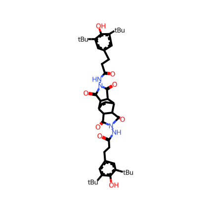 CC(C)(C)c1cc(CCC(=O)NN2C(=O)C3C4C=CC(C3C2=O)C2C(=O)N(NC(=O)CCc3cc(C(C)(C)C)c(O)c(C(C)(C)C)c3)C(=O)C42)cc(C(C)(C)C)c1O